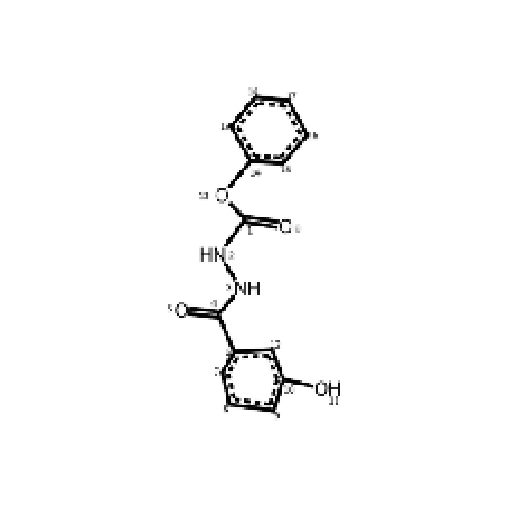 O=C(NNC(=O)c1cccc(O)c1)Oc1ccccc1